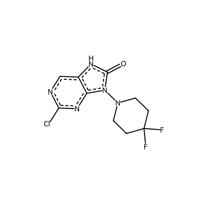 O=c1[nH]c2cnc(Cl)nc2n1N1CCC(F)(F)CC1